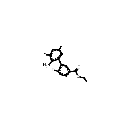 CCOC(=O)c1ccc(F)c(-c2cc(C)cc(F)c2N)c1